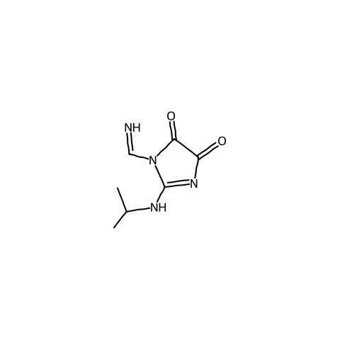 CC(C)NC1=NC(=O)C(=O)N1C=N